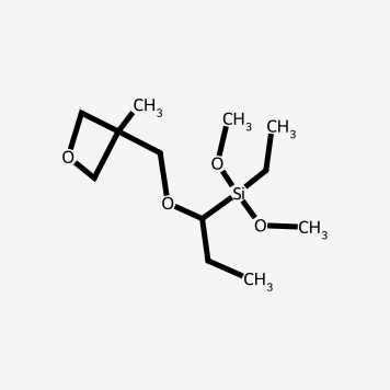 CCC(OCC1(C)COC1)[Si](CC)(OC)OC